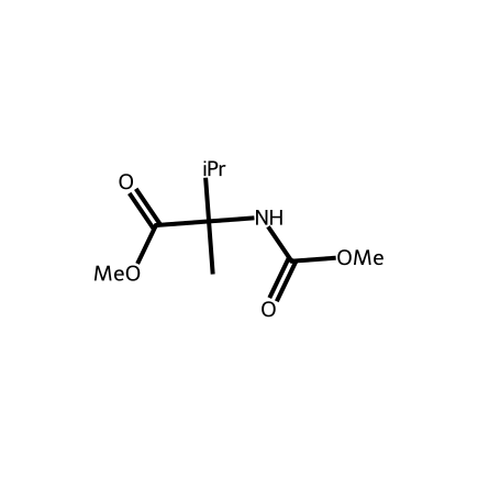 COC(=O)NC(C)(C(=O)OC)C(C)C